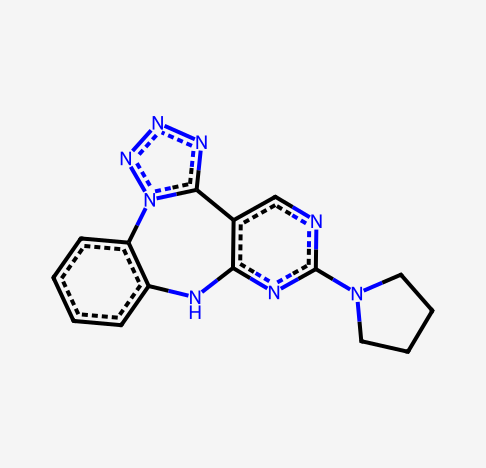 c1ccc2c(c1)Nc1nc(N3CCCC3)ncc1-c1nnnn1-2